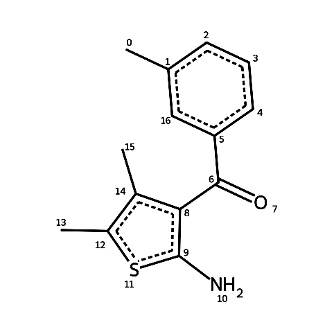 Cc1cccc(C(=O)c2c(N)sc(C)c2C)c1